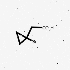 O=C(O)CC1(Br)CC1